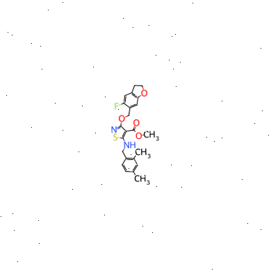 COC(=O)c1c(OCc2cc3c(cc2F)CCO3)nsc1NCc1ccc(C)cc1C